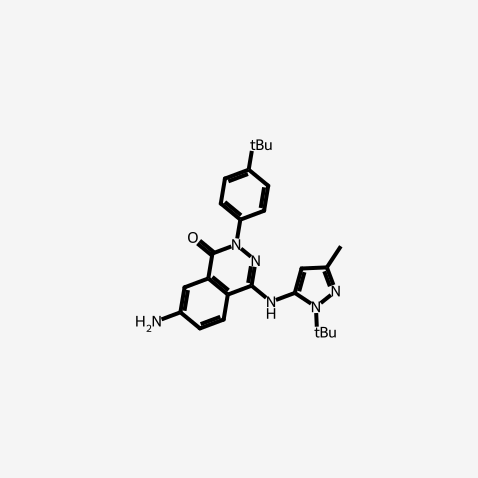 Cc1cc(Nc2nn(-c3ccc(C(C)(C)C)cc3)c(=O)c3cc(N)ccc23)n(C(C)(C)C)n1